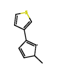 CC1[C]=C(c2ccsc2)C=C1